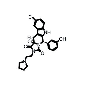 C[C@@]12Cc3c([nH]c4ccc(Cl)cc34)[C@@H](c3cccc(O)c3)N1C(=O)N(CCN1CCCC1)C2=O